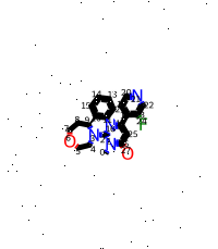 Cn1c(N2CCOCC[C@H]2c2ccccc2)nc(-c2ccncc2F)cc1=O